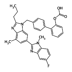 CCCc1nc2c(C)cc(-c3nc4cc(F)ccc4n3C)cc2n1Cc1ccc(-c2ccccc2OC(=O)O)cc1